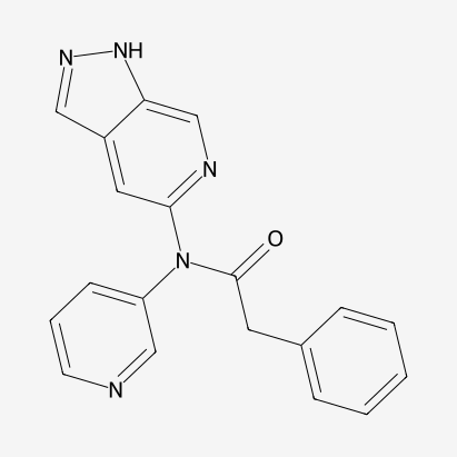 O=C(Cc1ccccc1)N(c1cccnc1)c1cc2cn[nH]c2cn1